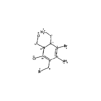 CCN1C(Br)=C([SiH3])C(CBr)=C(Cl)N1CCl